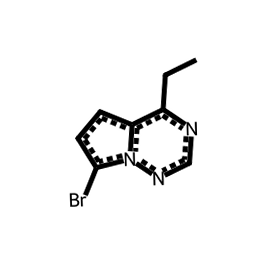 CCc1ncnn2c(Br)ccc12